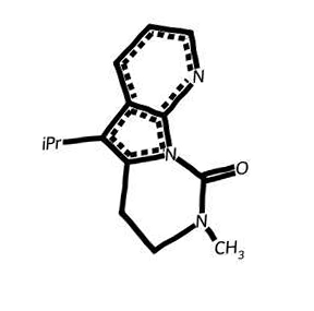 CC(C)c1c2n(c3ncccc13)C(=O)N(C)CC2